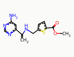 C=C(NCc1ccc(C(=O)OC)s1)c1cc(N)ncn1